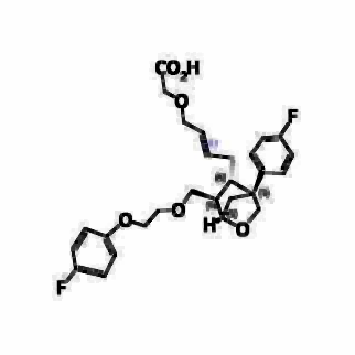 O=C(O)COC/C=C/C[C@H]1[C@H](COCCOc2ccc(F)cc2)[C@@H]2C[C@@]1(c1ccc(F)cc1)CO2